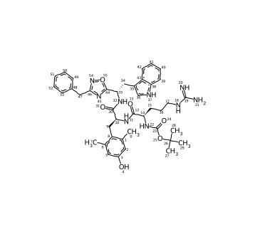 Cc1cc(O)cc(C)c1C[C@H](NC(=O)[C@@H](CCCNC(=N)N)NC(=O)OC(C)(C)C)C(=O)N[C@@H](Cc1c[nH]c2ccccc12)c1nc(Cc2ccccc2)no1